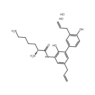 C=CCc1cc(NC(=O)[C@@H](N)CCCCN)c(O)c(-c2ccc(O)c(CC=C)c2)c1.Cl.Cl